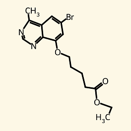 CCOC(=O)CCCCOc1cc(Br)cc2c(C)ncnc12